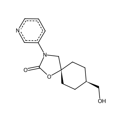 O=C1O[C@]2(CC[C@H](CO)CC2)CN1c1cccnc1